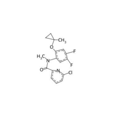 CN(C(=O)c1cccc(Cl)n1)c1cc(F)c(F)cc1OC1(C)CC1